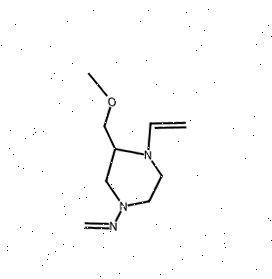 C=CN1CCN(N=C)CC1COC